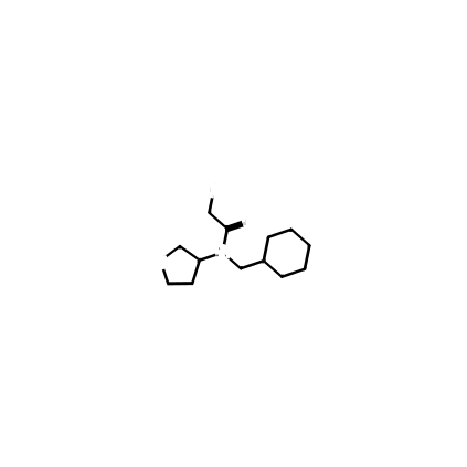 O=C(CCl)N(CC1CCCCC1)C1CCSC1